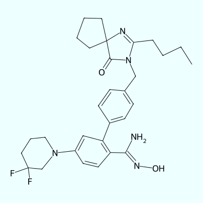 CCCCC1=NC2(CCCC2)C(=O)N1Cc1ccc(-c2cc(N3CCCC(F)(F)C3)ccc2/C(N)=N/O)cc1